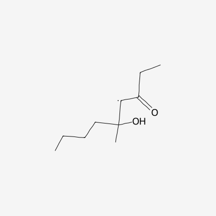 CCCCC(C)(O)[CH]C(=O)CC